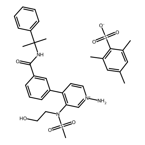 CC(C)(NC(=O)c1cccc(-c2cc[n+](N)cc2N(CCO)S(C)(=O)=O)c1)c1ccccc1.Cc1cc(C)c(S(=O)(=O)[O-])c(C)c1